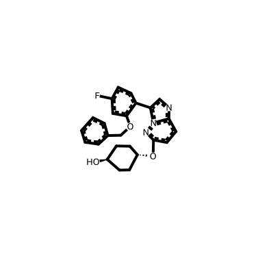 O[C@H]1CC[C@H](Oc2ccc3ncc(-c4ccc(F)cc4OCc4ccccc4)n3n2)CC1